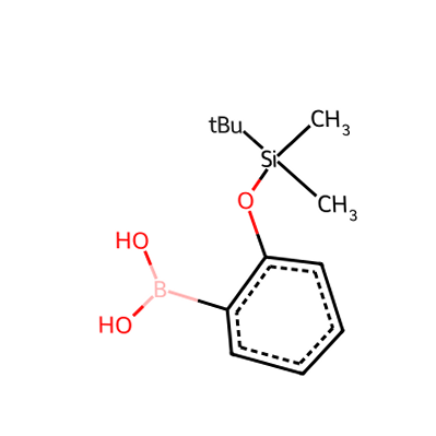 CC(C)(C)[Si](C)(C)Oc1ccccc1B(O)O